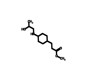 COC(=O)CCC1CCC(NCC(C)O)CC1